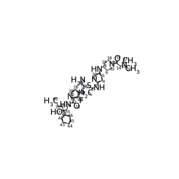 C=C(Nc1ccc(NC2CCN(C(=O)CN(C)C)CC2)cn1)S/C(=C\N)Sc1ccnc(C(=O)NCC(O)(CCC)c2ccccc2)c1F